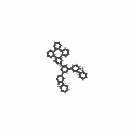 c1ccc2c(c1)-c1ccccc1-c1ccc(-c3cc(-c4ccc5oc6ccccc6c5c4)cc(-c4ccc5sc6ccccc6c5c4)c3)cc1-c1ccccc1-2